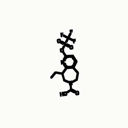 CCC1CN(C(=O)O)CCc2ccc(OS(=O)(=O)C(F)(F)F)nc21